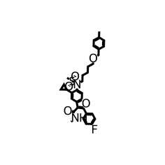 CNC(=O)c1c(-c2ccc(F)cc2)oc2cc(N(CCCCCOCc3ccc(C)cc3)S(C)(=O)=O)c(C3CC3)cc12